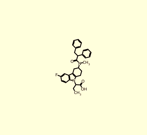 CCC(C(=O)O)n1c2c(c3cc(F)ccc31)CC(N(C)C(=O)C(Cc1ccccc1)c1ccccc1)CC2